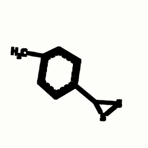 Cc1ccc(C2SS2)cc1